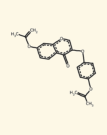 C=C(C)Oc1ccc(Oc2coc3cc(OC(=C)C)ccc3c2=O)cc1